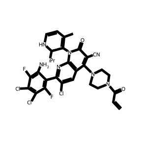 C=CC(=O)N1CCN(c2c(C#N)c(=O)n(C3=C(C)C=CNC3C(C)C)c3nc(-c4c(N)c(F)c(Cl)c(Cl)c4F)c(Cl)cc23)CC1